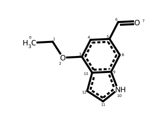 CCOc1cc(C=O)cc2[nH]ccc12